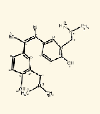 CCC(=C(CC)c1ccc(O)c(CN(C)C)c1)c1ccc(O)c(CN(C)C)c1